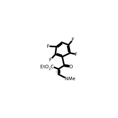 CCOC(=O)/C(=C/NC)C(=O)c1c(F)c(F)cc(F)c1F